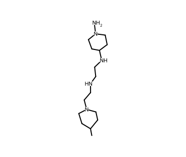 CC1CCN(CCNCCNC2CCN(N)CC2)CC1